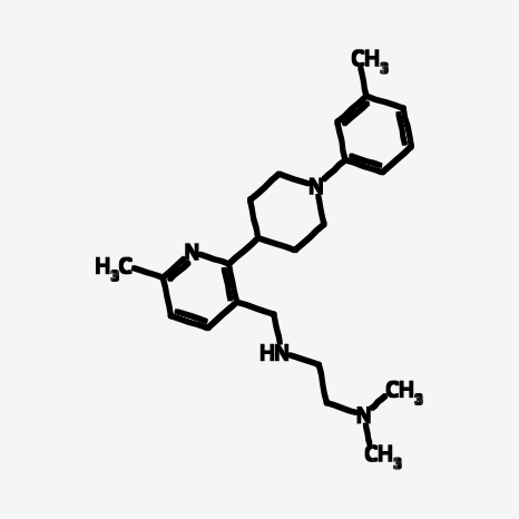 Cc1cccc(N2CCC(c3nc(C)ccc3CNCCN(C)C)CC2)c1